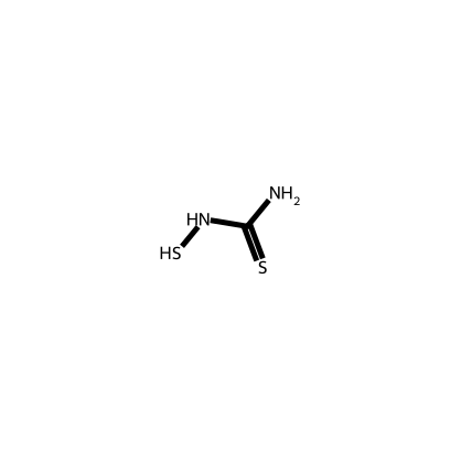 NC(=S)NS